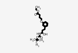 CCOC(=O)CCCOc1cccc(CCC(O)NC(=O)OC(C)(C)C)c1